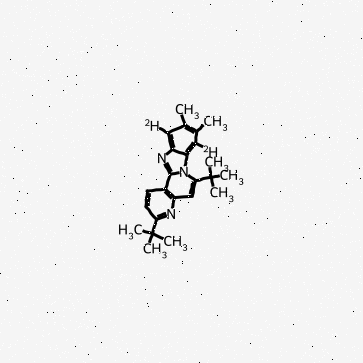 [2H]c1c(C)c(C)c([2H])c2c1nc1c3ccc(C(C)(C)C)nc3cc(C(C)(C)C)n12